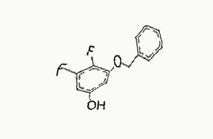 Oc1cc(F)c(F)c(OCc2ccccc2)c1